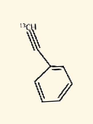 [13CH]#Cc1ccccc1